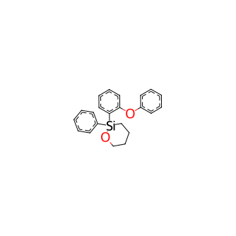 c1ccc(Oc2ccccc2[Si]2(c3ccccc3)CCCCO2)cc1